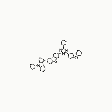 c1ccc(-c2nc(-c3ccc4c(c3)sc3ccc(-c5cccc6c5c5ccccc5n6-c5ccccc5)cc34)nc(-c3ccc4oc5ccccc5c4c3)n2)cc1